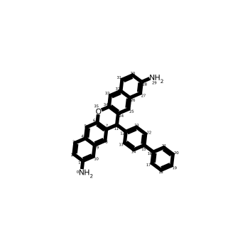 Nc1ccc2cc3c(cc2c1)C(c1ccc(-c2ccccc2)cc1)c1cc2cc(N)ccc2cc1O3